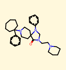 O=C1N(CCN2CCCCC2)CN(c2ccccc2)C12CCN(C1(c3ccccc3)CCCCCC1)CC2